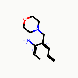 C=C/C=C(CN1CCOCC1)\C(N)=C/C